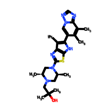 Cc1c(-c2[nH]c3sc(N4C[C@@H](C)N(CC(C)(C)O)C[C@@H]4C)nc3c2C(C)C)cn2ncnc2c1C